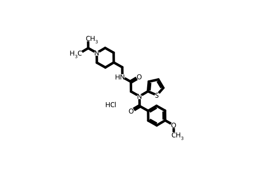 COc1ccc(C(=O)N(CC(=O)NCC2CCN(C(C)C)CC2)c2cccs2)cc1.Cl